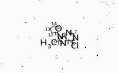 Cc1nc2c(Cl)ncnc2n1C1CCCO1